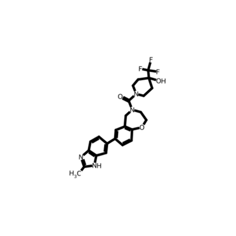 Cc1nc2ccc(-c3ccc4c(c3)CN(C(=O)N3CCC(O)(C(F)(F)F)CC3)CCO4)cc2[nH]1